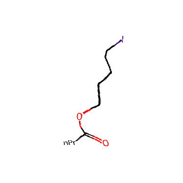 CCCC(=O)OCCCCI